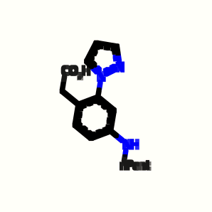 CCCCCNc1ccc(CC(=O)O)c(-n2cccn2)c1